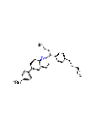 C=C=CCCc1ccc(C(CCC(C)C)C/N=C2/C=CC(c3ccc(C(C)(C)C)cc3)=C/C2=C/C)cc1